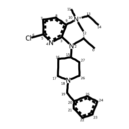 CCN(c1nc(Cl)ccc1[N+](C)(C)CC)C1CCN(Cc2ccccc2)CC1